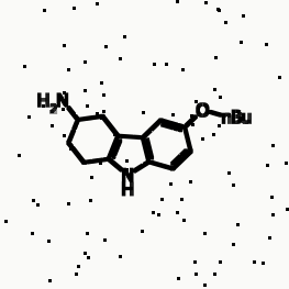 CCCCOc1ccc2[nH]c3c(c2c1)CC(N)CC3